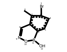 Cc1c(Br)ccc2c1C=NOB2O